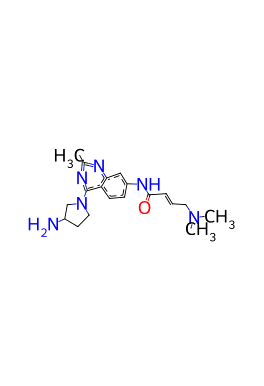 Cc1nc(N2CCC(N)C2)c2ccc(NC(=O)/C=C/CN(C)C)cc2n1